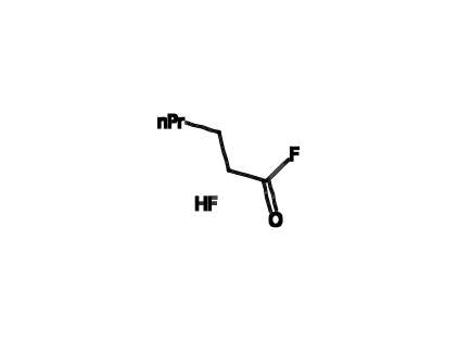 CCCCCC(=O)F.F